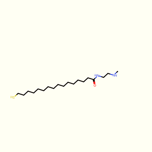 CNCCNC(=O)CCCCCCCCCCCCCCCS